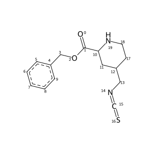 O=C(OCc1ccccc1)C1CC(CN=C=S)CCN1